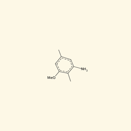 COc1cc(C)cc(N)c1C